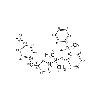 CC(C)(CCC(C#N)(c1ccccc1)c1ccccc1)N1CC[C@@H](Oc2ccc(C(F)(F)F)cc2)C1